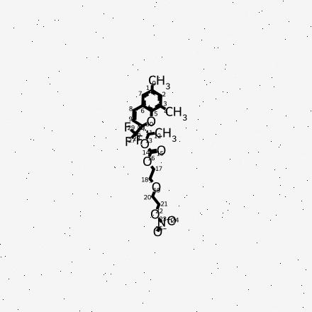 Cc1cc(C)c2c(c1)C=C[C@](C(C)OC(=O)OCCOCCO[N+](=O)[O-])(C(F)(F)F)O2